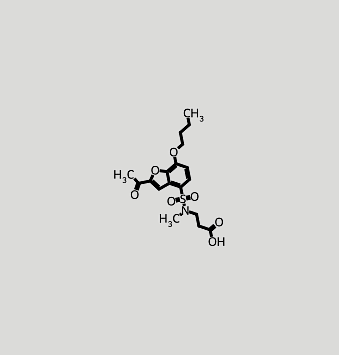 CCCCOc1ccc(S(=O)(=O)N(C)CCC(=O)O)c2cc(C(C)=O)oc12